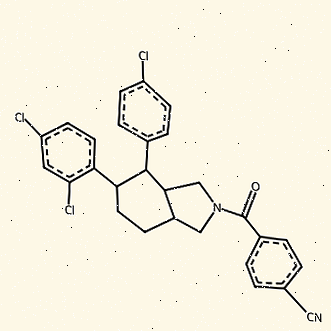 N#Cc1ccc(C(=O)N2CC3CCC(c4ccc(Cl)cc4Cl)C(c4ccc(Cl)cc4)C3C2)cc1